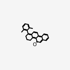 Cc1cccc(C)c1C1=c2ccc3c(c2CCC1)C(=O)C=c1ccccc1=3